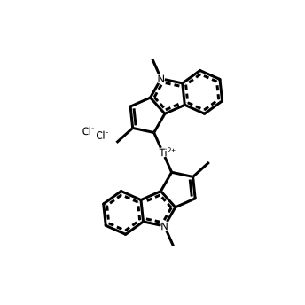 CC1=Cc2c(c3ccccc3n2C)[CH]1[Ti+2][CH]1C(C)=Cc2c1c1ccccc1n2C.[Cl-].[Cl-]